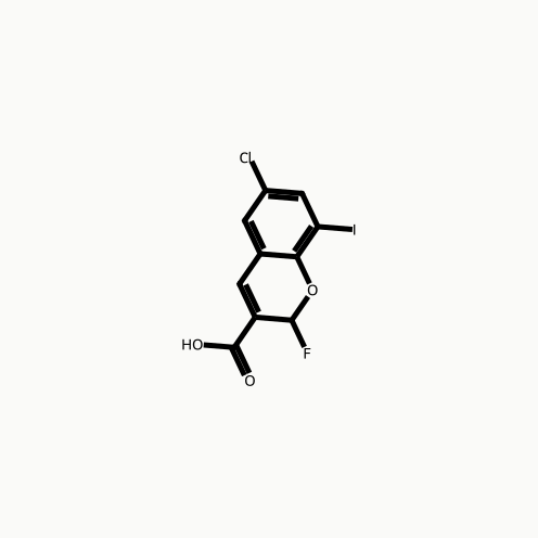 O=C(O)C1=Cc2cc(Cl)cc(I)c2OC1F